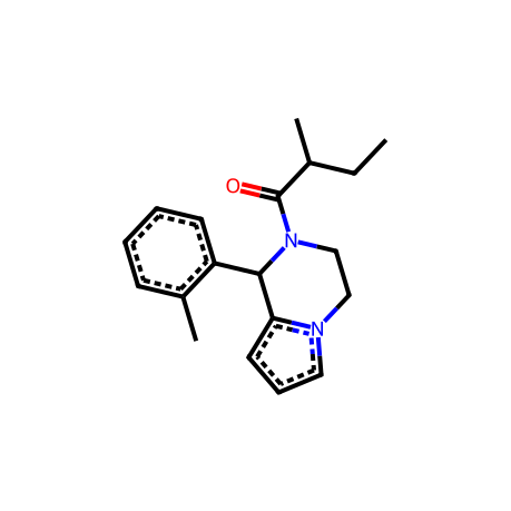 CCC(C)C(=O)N1CCn2cccc2C1c1ccccc1C